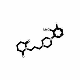 COc1c(F)cccc1N1CCN(CCCN2C(=O)CCCC2=O)CC1